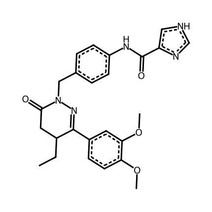 CCC1CC(=O)N(Cc2ccc(NC(=O)c3c[nH]cn3)cc2)N=C1c1ccc(OC)c(OC)c1